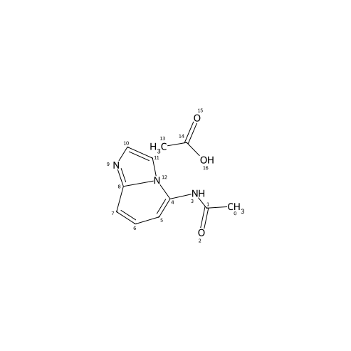 CC(=O)Nc1cccc2nccn12.CC(=O)O